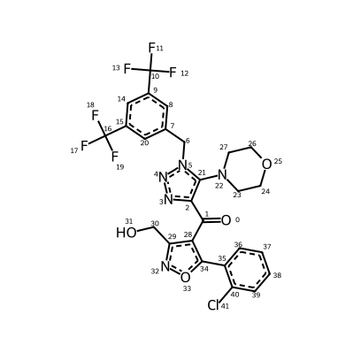 O=C(c1nnn(Cc2cc(C(F)(F)F)cc(C(F)(F)F)c2)c1N1CCOCC1)c1c(CO)noc1-c1ccccc1Cl